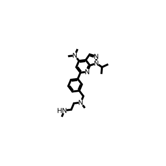 CNCCN(C)Cc1cccc(-c2cc(N(C)C)c3cnn(C(C)C)c3n2)c1